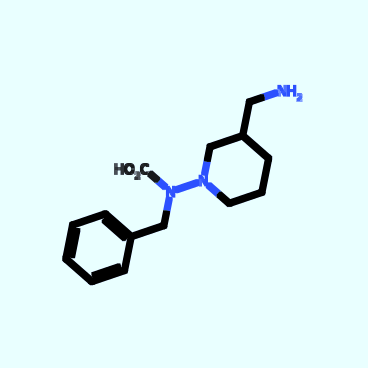 NCC1CCCN(N(Cc2ccccc2)C(=O)O)C1